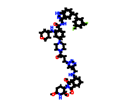 O=C1CCC(N2C(=O)c3cccc(NCc4cn(CCC(=O)N5CCN(c6ccc(C(=O)Nc7n[nH]c8ccc(Cc9cc(F)cc(F)c9)cc78)c(NC7CCOCC7)c6)CC5)nn4)c3C2=O)C(=O)N1